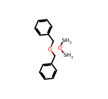 [SiH3]O[SiH3].c1ccc(COCc2ccccc2)cc1